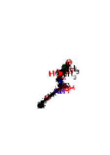 C[C@]12C=CC(=O)C=C1CCC1C3C[C@H]4OC(c5ccc[n+](Cc6ccc(C(O)CNCCCCCCOCCCCc7ccccc7)cc6OP(=O)(O)O)c5)O[C@@]4(C(=O)CO)[C@@]3(C)C[C@H](O)[C@@]12F